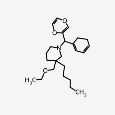 CCCCCC1(COCC)CCCN(C(C2=CC=CCC2)C2=COC=CO2)C1